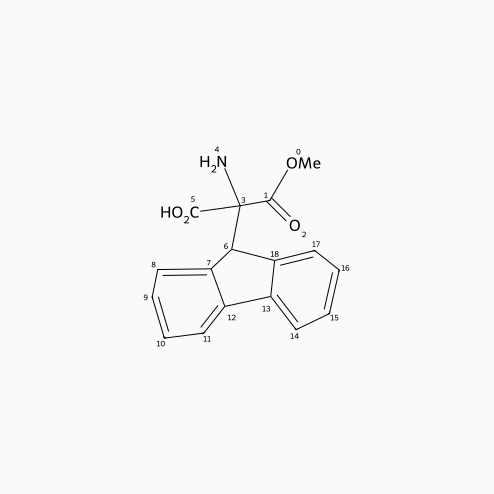 COC(=O)C(N)(C(=O)O)C1c2ccccc2-c2ccccc21